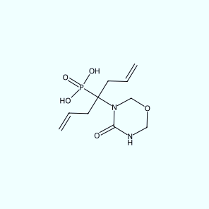 C=CCC(CC=C)(N1COCNC1=O)P(=O)(O)O